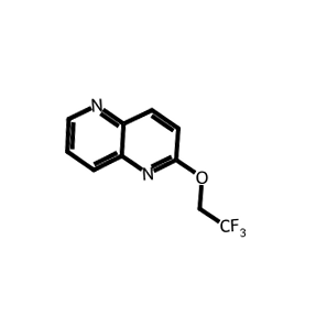 FC(F)(F)COc1ccc2ncccc2n1